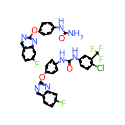 NC(=O)Nc1ccc(Oc2ncc3ccc(F)cc3n2)cc1.O=C(Nc1ccc(Oc2ncc3ccc(F)cc3n2)cc1)Nc1ccc(Cl)c(C(F)(F)F)c1